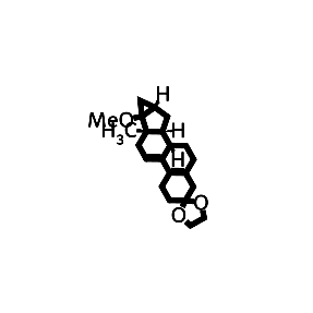 COC12C[C@@H]1C[C@H]1[C@@H]3CCC4=C(CCC5(C4)OCCO5)C3=CC[C@@]12C